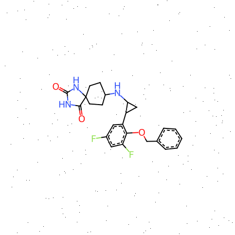 O=C1NC(=O)C2(CCC(NC3CC3c3cc(F)cc(F)c3OCc3ccccc3)CC2)N1